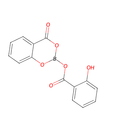 O=C(OB1OC(=O)c2ccccc2O1)c1ccccc1O